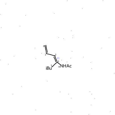 C=C/C=C(/NC(C)=O)C(C)CC